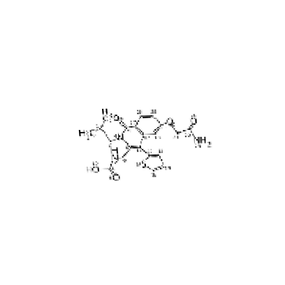 CC(C)Cn1c(CNC(=O)O)c(-c2cccs2)c2cc(OCC(N)=O)ccc2c1=O